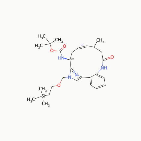 CC1/C=C\C[C@H](NC(=O)OC(C)(C)C)c2nc(cn2COCC[Si](C)(C)C)-c2ccccc2NC(=O)C1